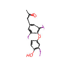 CC(=O)Cc1cc(I)c(Oc2ccc(O)c(I)c2)c(I)c1